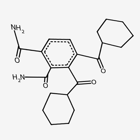 NC(=O)c1ccc(C(=O)C2CCCCC2)c(C(=O)C2CCCCC2)c1C(N)=O